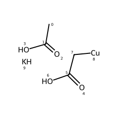 CC(=O)O.O=C(O)[CH2][Cu].[KH]